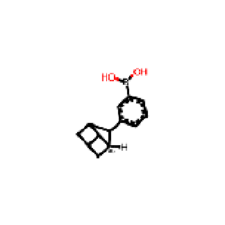 OB(O)c1cccc(C2C3CC4C[C@@H]2C43)c1